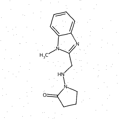 Cn1c(CNN2CCCC2=O)nc2ccccc21